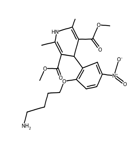 COC(=O)C1=C(C)NC(C)=C(C(=O)OC)C1c1cc([N+](=O)[O-])ccc1OCCCCN